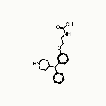 O=C(O)NCCOc1cccc(C(c2ccccc2)C2CCNCC2)c1